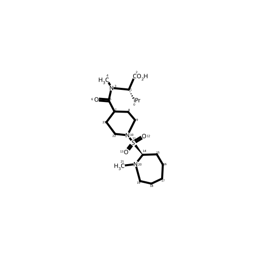 CC(C)[C@@H](C(=O)O)N(C)C(=O)C1CCN(S(=O)(=O)[C@H]2CCCCCN2C)CC1